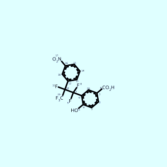 O=C(O)c1ccc(O)c(C(F)(F)C(F)(c2cccc([N+](=O)[O-])c2)C(F)(F)F)c1